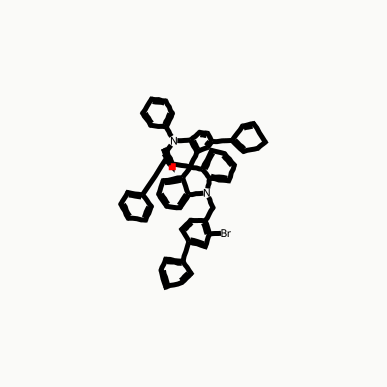 Brc1cc(-c2ccccc2)ccc1CN1c2ccccc2C2(c3ccccc31)c1cc(C3=CCCC=C3)ccc1N(c1ccccc1)c1ccc(-c3ccccc3)cc12